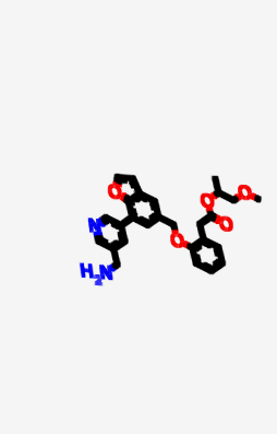 COCC(C)OC(=O)Cc1ccccc1OCc1cc(-c2cncc(CN)c2)c2occc2c1